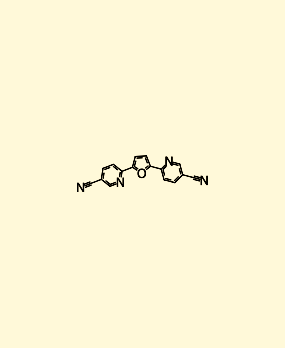 N#Cc1ccc(-c2ccc(-c3ccc(C#N)cn3)o2)nc1